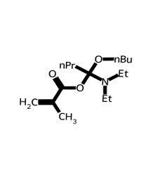 C=C(C)C(=O)OC(CCC)(OCCCC)N(CC)CC